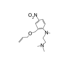 C=CCOCc1cc([N+](=O)[O-])ccc1N(C)CCN(C)C